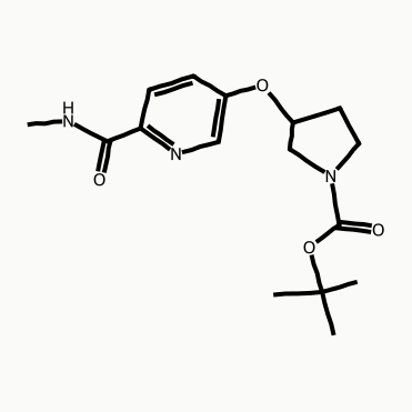 CNC(=O)c1ccc(OC2CCN(C(=O)OC(C)(C)C)C2)cn1